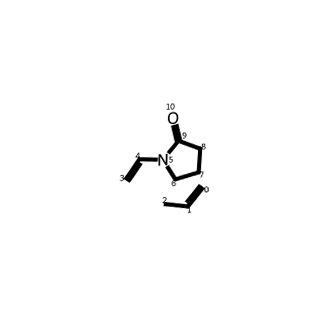 C=CC.C=CN1CCCC1=O